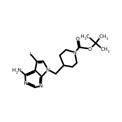 CC(C)(C)OC(=O)N1CCC(Cn2cc(I)c3c(N)ncnc32)CC1